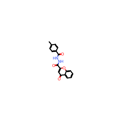 Cc1ccc(C(=O)NNC(=O)c2cc(=O)c3ccccc3o2)cc1